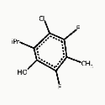 Cc1c(F)c(O)c(C(C)C)c(Cl)c1F